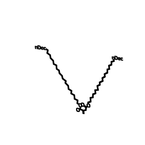 C=C(CC(=O)OCCCCCCCCCCCCCCCCCCCCCCCCCCCCCCCC)C(=O)OCCCCCCCCCCCCCCCCCCCCCCCCCCCCCCCC